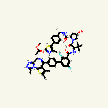 COC(=O)C[C@@H]1N=C(c2ccc(-c3cc(F)cc(C(=O)NC(C(=O)N4C[C@H](O)C[C@H]4C(=O)N[C@@H](C)c4ccc(-c5scnc5C)cc4)C(C)(C)C)c3F)cc2)c2c(sc(C)c2C)-n2c(C)nnc21